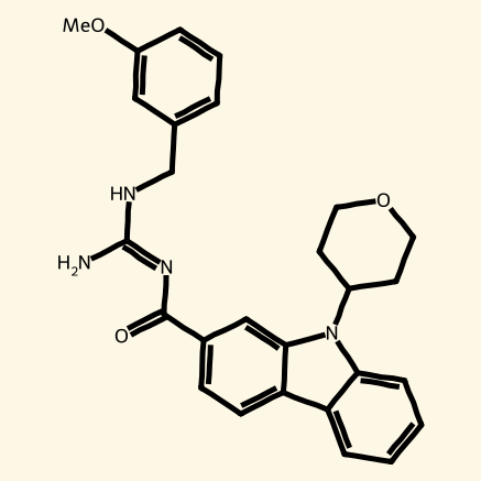 COc1cccc(CN/C(N)=N/C(=O)c2ccc3c4ccccc4n(C4CCOCC4)c3c2)c1